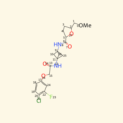 COCC1CCC(C(=O)NC23CC(NC(=O)COc4ccc(Cl)c(F)c4)(C2)C3)O1